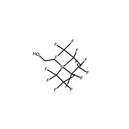 OCC[Si](C(F)(F)C(F)(F)F)(C(F)(F)C(F)(F)F)C(F)(F)C(F)(F)F